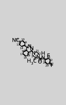 C[C@H]1CN(c2nnc(-c3ccc(C#N)cc3)c3ccccc23)CCN1C(=O)Nc1ccc(F)cc1F